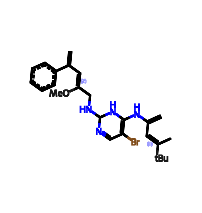 C=C(/C=C(\C)C(C)(C)C)NC1=C(Br)C=NC(NC/C(=C/C(=C)c2ccccc2)OC)N1